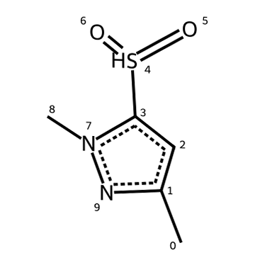 Cc1cc([SH](=O)=O)n(C)n1